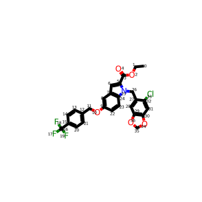 CCOC(=O)c1cc2cc(OCc3ccc(C(F)(F)F)cc3)ccc2n1Cc1cc2c(cc1Cl)OCO2